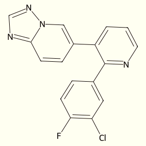 Fc1ccc(-c2ncccc2-c2ccc3ncnn3c2)cc1Cl